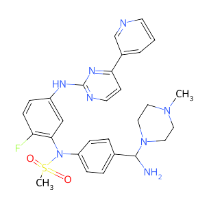 CN1CCN(C(N)c2ccc(N(c3cc(Nc4nccc(-c5cccnc5)n4)ccc3F)S(C)(=O)=O)cc2)CC1